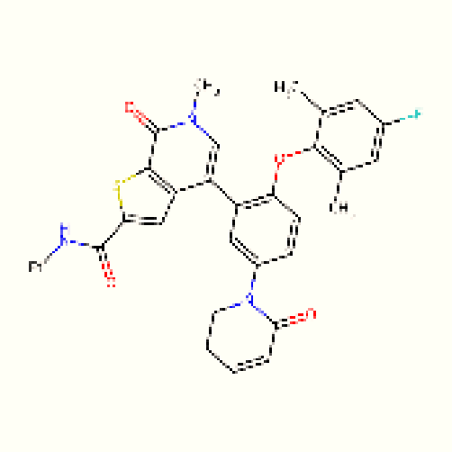 CCNC(=O)c1cc2c(-c3cc(N4CCC=CC4=O)ccc3Oc3c(C)cc(F)cc3C)cn(C)c(=O)c2s1